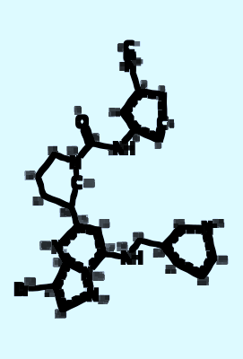 [C-]#[N+]c1cccc(NC(=O)N2CCCC(c3cc(NCc4cccnc4)n4ncc(Br)c4n3)C2)c1